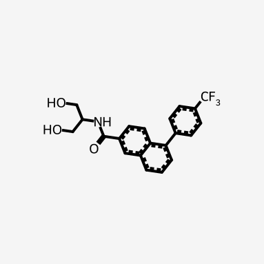 O=C(NC(CO)CO)c1ccc2c(-c3ccc(C(F)(F)F)cc3)cccc2c1